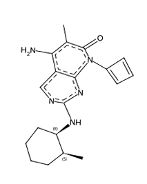 Cc1c(N)c2cnc(N[C@@H]3CCCC[C@@H]3C)nc2n(C2=CC=C2)c1=O